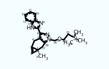 C[C@]12C=C1Cc1c(-c3nc4ccccc4[nH]3)nn(COCC[Si](C)(C)C)c1C2